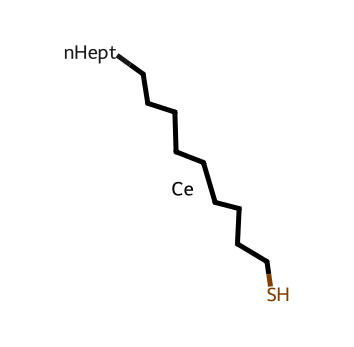 CCCCCCCCCCCCCCCCS.[Ce]